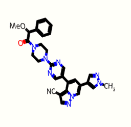 COC(C(=O)N1CCN(c2ncc(-c3cc(-c4cnn(C)c4)cn4ncc(C#N)c34)cn2)CC1)c1ccccc1